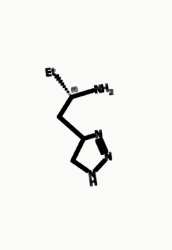 CC[C@H](N)CC1CNN=N1